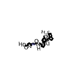 Cc1ccc2cccc(OCc3c(Cl)ccc(-n4cccc4CNC(=O)/C=C/c4ccc(C(=O)O)nc4)c3Cl)c2n1